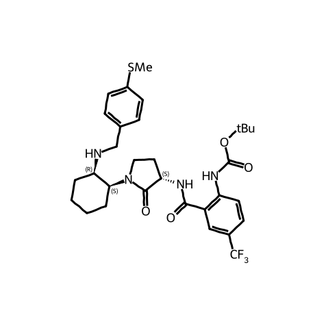 CSc1ccc(CN[C@@H]2CCCC[C@@H]2N2CC[C@H](NC(=O)c3cc(C(F)(F)F)ccc3NC(=O)OC(C)(C)C)C2=O)cc1